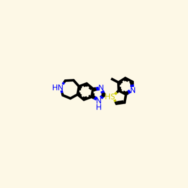 Cc1ccnc2c1[SH](c1nc3cc4c(cc3[nH]1)CCNCC4)C=C2